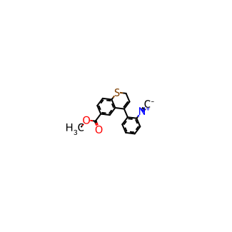 [C-]#[N+]c1ccccc1C1=CCSc2ccc(C(=O)OC)cc21